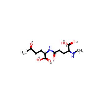 CNC(CCC(=O)NC(CCC(C)=O)C(=O)O)C(=O)O